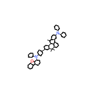 Cc1c2c3c(cccc3c3cc(N(c4ccccc4)c4ccccc4)ccc13)C(C)(C)c1cc(-c3ccc(N(c4ccccc4)c4cccc5c4oc4ccccc45)cc3)ccc1-2